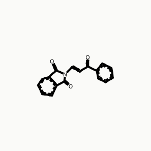 O=C(C=CN1C(=O)c2ccccc2C1=O)c1ccccc1